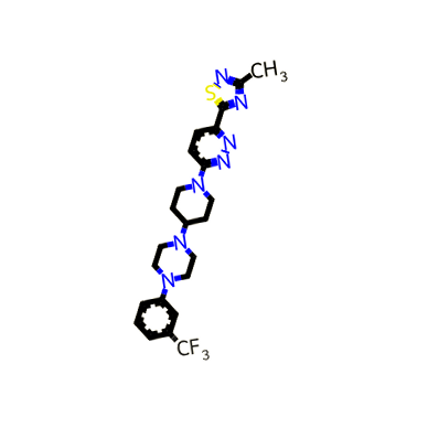 Cc1nsc(-c2ccc(N3CCC(N4CCN(c5cccc(C(F)(F)F)c5)CC4)CC3)nn2)n1